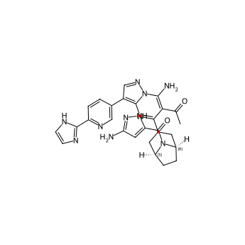 CC(=O)c1c(C2C[C@H]3CC[C@@H](C2)N3C(=O)c2cc(N)n[nH]2)nc2c(-c3ccc(-c4ncc[nH]4)nc3)cnn2c1N